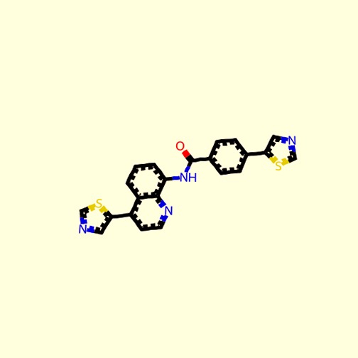 O=C(Nc1cccc2c(-c3cncs3)ccnc12)c1ccc(-c2cncs2)cc1